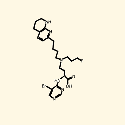 O=C(O)C(CCN(CCCF)CCCCc1ccc2c(n1)NCCC2)Nc1ncncc1Br